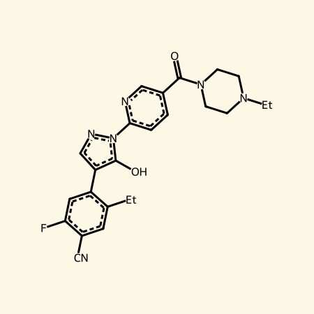 CCc1cc(C#N)c(F)cc1-c1cnn(-c2ccc(C(=O)N3CCN(CC)CC3)cn2)c1O